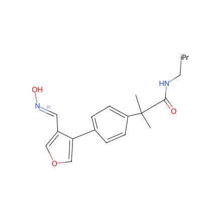 CC(C)CNC(=O)C(C)(C)c1ccc(-c2cocc2/C=N/O)cc1